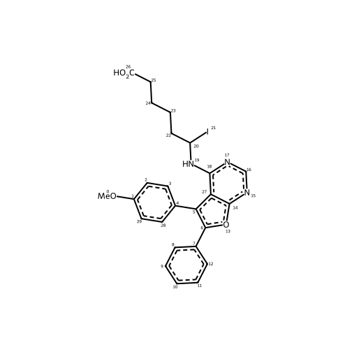 COc1ccc(-c2c(-c3ccccc3)oc3ncnc(NC(I)CCCCC(=O)O)c23)cc1